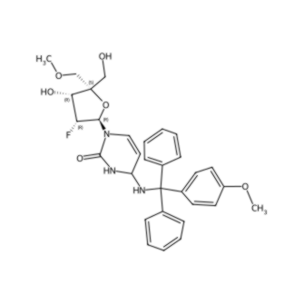 COC[C@]1(CO)O[C@@H](N2C=CC(NC(c3ccccc3)(c3ccccc3)c3ccc(OC)cc3)NC2=O)[C@H](F)[C@@H]1O